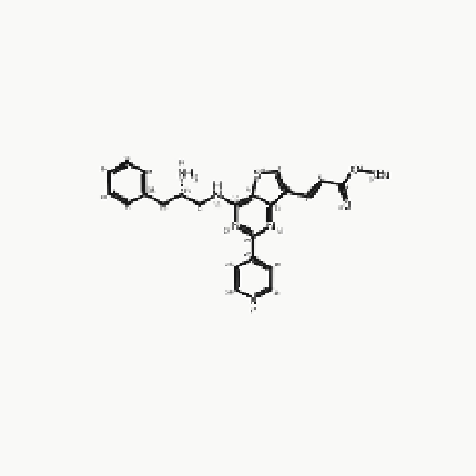 CC(C)(C)OC(=O)/C=C/c1csc2c(NC[C@@H](N)Cc3ccccc3)nc(-c3ccncc3)nc12